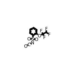 O=C=NS(=O)(=O)c1ccccc1OC(F)(F)C(F)F